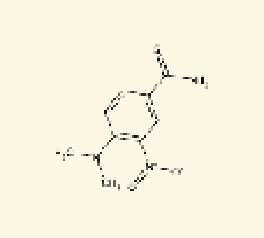 CN(C)c1ccc(C(N)=S)cc1[N+](=O)[O-]